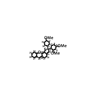 COc1ccc(C2(c3ccc(OC)cc3OC)C=c3ccc4c(c3S2)Oc2ccccc2C=4)cc1